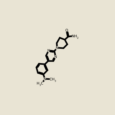 CN(C)c1cccc(-c2cnc(N3CCC(C(N)=O)CC3)nc2)c1